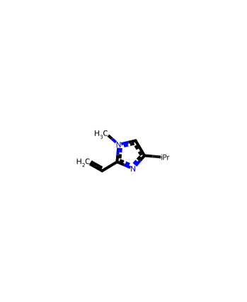 C=Cc1nc(C(C)C)cn1C